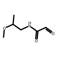 COC(C)CNC(=O)C=O